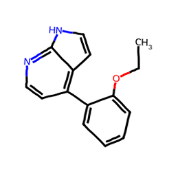 CCOc1ccccc1-c1ccnc2[nH]ccc12